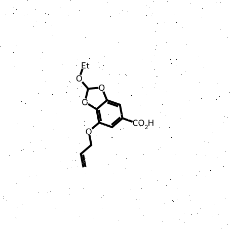 C=CCOc1cc(C(=O)O)cc2c1OC(OCC)O2